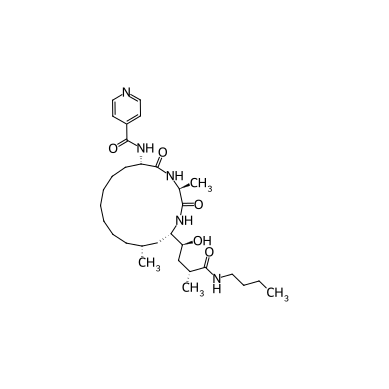 CCCCNC(=O)[C@H](C)C[C@H](O)[C@@H]1C[C@H](C)CCCCCCC[C@H](NC(=O)c2ccncc2)C(=O)N[C@@H](C)C(=O)N1